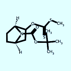 CSC(=S)OC1C[C@H]2CC[C@@H]1N2C(=O)OC(C)(C)C